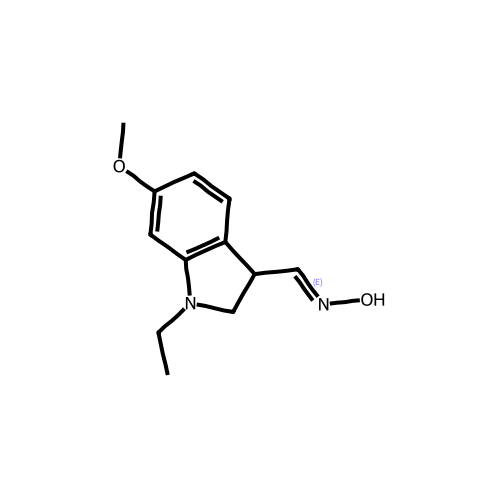 CCN1CC(/C=N/O)c2ccc(OC)cc21